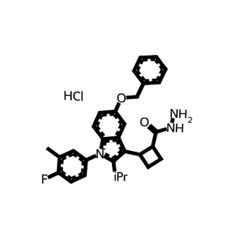 Cc1cc(-n2c(C(C)C)c(C3CCC3C(=O)NN)c3cc(OCc4ccccc4)ccc32)ccc1F.Cl